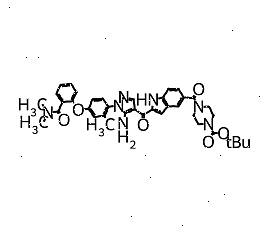 Cc1cc(Oc2ccccc2C(=O)N(C)C)ccc1-n1ncc(C(=O)c2cc3cc(C(=O)N4CCN(C(=O)OC(C)(C)C)CC4)ccc3[nH]2)c1N